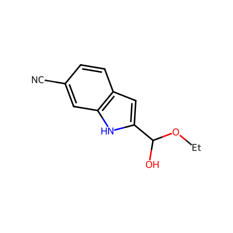 CCOC(O)c1cc2ccc(C#N)cc2[nH]1